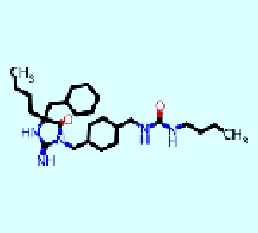 CCCCNC(=O)NCC1CCC(CN2C(=N)NC(CCCC)(CC3CCCCC3)C2=O)CC1